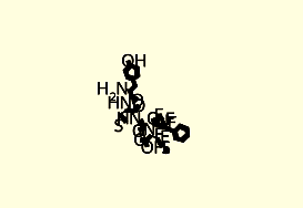 CSCC[C@@H](NC(=O)[C@@H](N)Cc1ccc(O)cc1)C(=O)NCC(=O)N(C(=O)[C@@](F)(N(F)F)C(F)(F)c1ccccc1)[C@@H](CCSC)C(=O)O